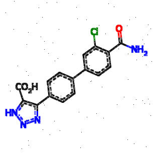 NC(=O)c1ccc(-c2ccc(-c3nn[nH]c3C(=O)O)cc2)cc1Cl